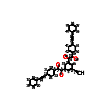 C#Cc1cc(C(=O)C(=O)c2ccc(C#Cc3ccccc3)cc2)cc(C(=O)C(=O)c2ccc(C#Cc3ccccc3)cc2)c1